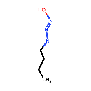 CCCCNN=NO